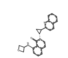 O=c1c2c(NC3COC3)cccc2ccn1[C@@H]1CC1c1ccc2ccccc2n1